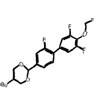 CCCCC1COC(c2ccc(-c3cc(F)c(OCF)c(F)c3)c(F)c2)OC1